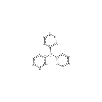 c1cc[c]([Tc]([c]2ccccc2)[c]2ccccc2)cc1